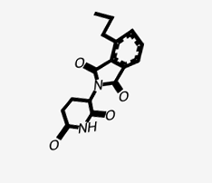 CCCc1cccc2c1C(=O)N(C1CCC(=O)NC1=O)C2=O